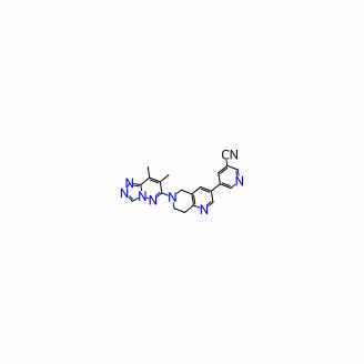 Cc1c(N2CCc3ncc(-c4cncc(C#N)c4)cc3C2)nn2cnnc2c1C